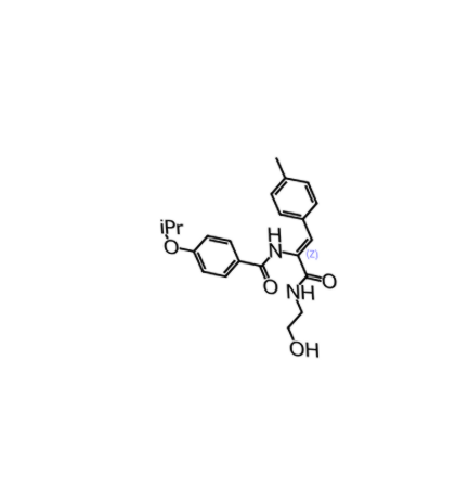 Cc1ccc(/C=C(\NC(=O)c2ccc(OC(C)C)cc2)C(=O)NCCO)cc1